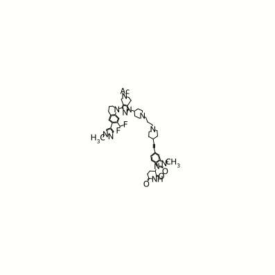 CC(=O)N1CCc2c(c(N3CCCc4cc(-c5cnn(C)c5)c(C(F)F)cc43)nn2C2CCN(CCCN3CCC(C#Cc4ccc5c(c4)n(C)c(=O)n5C4CCC(=O)NC4=O)CC3)CC2)C1